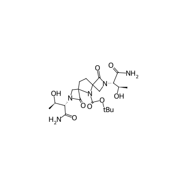 C[C@@H](O)[C@@H](C(N)=O)N1CC2(CCC3(CN([C@H](C(N)=O)[C@@H](C)O)C3=O)N2C(=O)OC(C)(C)C)C1=O